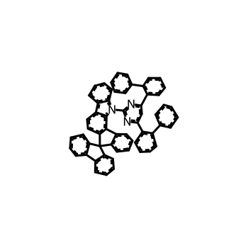 c1ccc(-c2ccccc2-c2cc(-c3ccccc3-c3ccccc3)nc(-n3c4ccccc4c4ccc5c(c43)-c3ccccc3C53c4ccccc4-c4ccccc43)n2)cc1